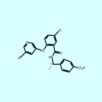 C[C@H](NC(=O)c1cc(Cl)ccc1Oc1cncc(Cl)c1)c1ccc(C(=O)O)cc1